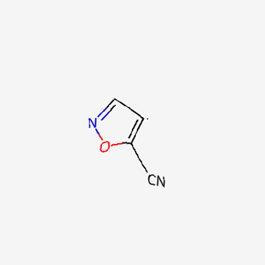 N#Cc1[c]cno1